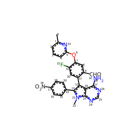 Cc1cccc(Oc2cc(C=O)c(-c3c(-c4ccc([N+](=O)[O-])cc4)n(C)c4ncnc(N)c34)cc2F)n1